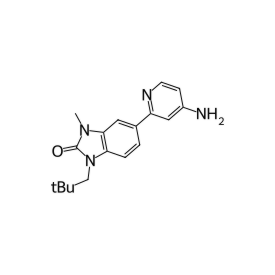 Cn1c(=O)n(CC(C)(C)C)c2ccc(-c3cc(N)ccn3)cc21